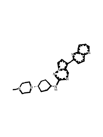 CN1CCN([C@H]2CC[C@@H](Nc3ncc4c(-c5ccc6ncccc6n5)ccn4n3)CC2)CC1